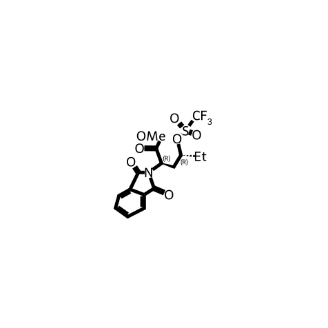 CC[C@H](C[C@H](C(=O)OC)N1C(=O)c2ccccc2C1=O)OS(=O)(=O)C(F)(F)F